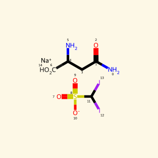 NC(=O)CC(N)C(=O)O.O=S(=O)([O-])C(I)I.[Na+]